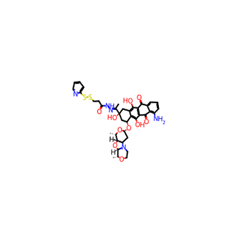 C/C(=N\NC(=O)CCSSc1ccccn1)[C@]1(O)Cc2c(O)c3c(c(O)c2[C@@H](O[C@H]2CC4[C@H](O[C@@H]5[C@@H](C)OCCN45)[C@H](C)O2)C1)C(=O)c1c(N)cccc1C3=O